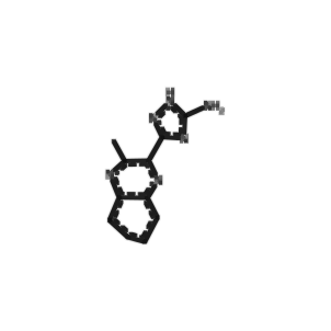 Cc1nc2ccccc2nc1-c1n[nH]c(N)n1